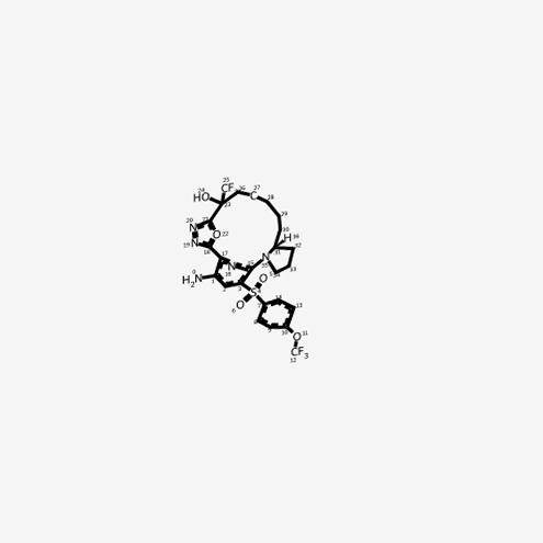 Nc1cc(S(=O)(=O)c2ccc(OC(F)(F)F)cc2)c2nc1-c1nnc(o1)C(O)(C(F)(F)F)CCCCC[C@@H]1CCCN21